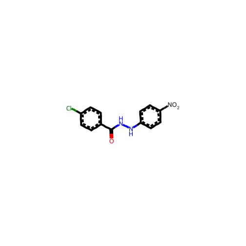 O=C(NNc1ccc([N+](=O)[O-])cc1)c1ccc(Cl)cc1